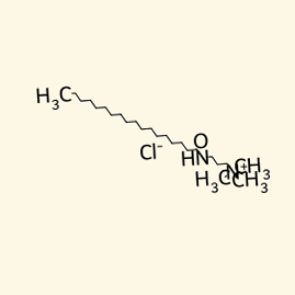 CCCCCCCCCCCCCCCCCC(=O)NCCC[N+](C)(C)C.[Cl-]